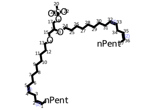 CCCCC/C=C\C/C=C\CCCCCCCCOCC(COS(C)(=O)=O)OCCCCCCCC/C=C\C/C=C\CCCCC